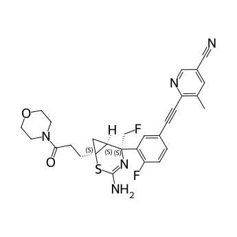 Cc1cc(C#N)cnc1C#Cc1ccc(F)c([C@@]2(CF)N=C(N)S[C@@]3(CCC(=O)N4CCOCC4)C[C@H]32)c1